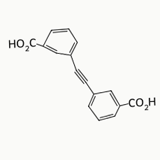 O=C(O)c1cccc(C#Cc2cccc(C(=O)O)c2)c1